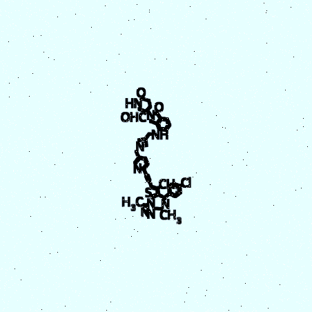 Cc1c(C#Cc2ccc(CN3CC(CNc4cccc5c4CN(C4(C=O)CCC(=O)NC4)C5=O)C3)cn2)sc2c1C(c1ccc(Cl)cc1)=N[C@@H](C)c1nnc(C)n1-2